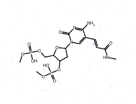 CNC(=O)/C=C/c1cn(C2CC(OP(=O)(O)OC)C(COP(=O)(O)OC)O2)c(=O)nc1N